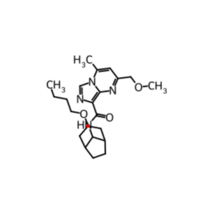 CCCCOC1CC2CCC(C1)C2NC(=O)c1ncn2c(C)cc(COC)nc12